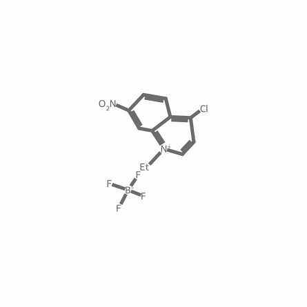 CC[n+]1ccc(Cl)c2ccc([N+](=O)[O-])cc21.F[B-](F)(F)F